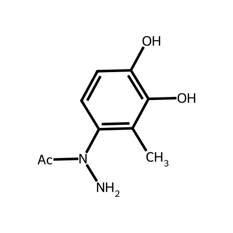 CC(=O)N(N)c1ccc(O)c(O)c1C